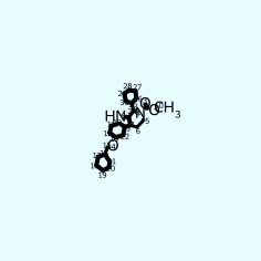 COC(=O)N1CCc2c([nH]c3ccc(OCc4ccccc4)cc23)C1c1ccccc1